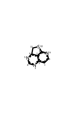 c1cc2ncnc3c2c(n1)SC3